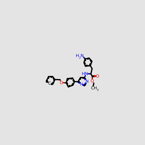 CCOC(=O)C(Cc1ccc(N)cc1)Nc1cc(-c2ccc(OCc3ccccc3)cc2)ncn1